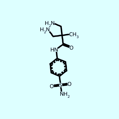 CC(CN)(CN)C(=O)Nc1ccc(S(N)(=O)=O)cc1